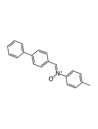 Cc1ccc([N+]([O-])=Cc2ccc(-c3ccccc3)cc2)cc1